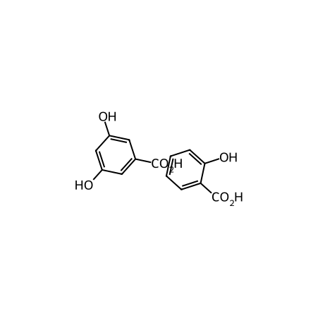 O=C(O)c1cc(O)cc(O)c1.O=C(O)c1ccccc1O